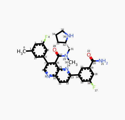 Cc1cc(F)cc(-c2cnc3ccc(-c4cc(F)cc(C(N)=O)c4)nc3c2C(=O)N(C)C[C@@H]2CCCN2)c1